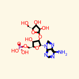 Nc1ncnc2c1ncn2[C@@H]1O[C@H](COP(=O)(O)O)[C@H](O)[C@H]1OC1O[C@H](CO)[C@@H](O)[C@H]1O